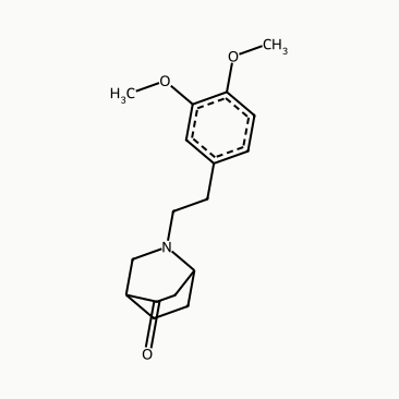 COc1ccc(CCN2CC3CCC2CC3=O)cc1OC